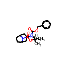 CN(C(=O)OCc1ccccc1)C1CC2CCC(C1)N2C(=O)OC(C)(C)C